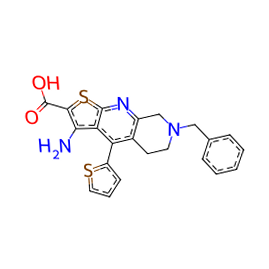 Nc1c(C(=O)O)sc2nc3c(c(-c4cccs4)c12)CCN(Cc1ccccc1)C3